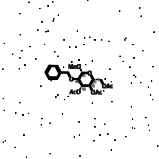 CO[C@@H]1O[C@H](COC(C)=O)[C@@H](OC(C)=O)[C@H](OC(C)=O)[C@H]1OCc1ccccc1